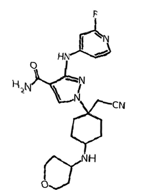 N#CCC1(n2cc(C(N)=O)c(Nc3ccnc(F)c3)n2)CCC(NC2CCOCC2)CC1